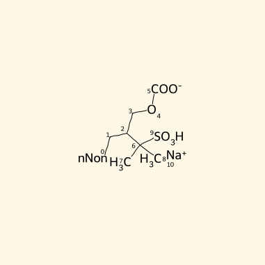 CCCCCCCCCCC(COC(=O)[O-])C(C)(C)S(=O)(=O)O.[Na+]